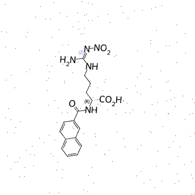 N/C(=N/[N+](=O)[O-])NCCC[C@@H](NC(=O)c1ccc2ccccc2c1)C(=O)O